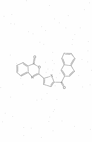 O=C(c1ccc2ccccc2c1)c1ccc(-c2nc3ccccc3c(=O)o2)s1